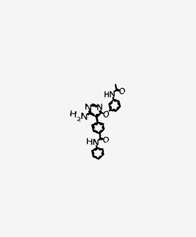 CC(=O)Nc1cccc(Oc2ncnc(N)c2-c2ccc(C(=O)Nc3ccccc3)cc2)c1